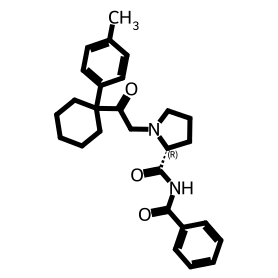 Cc1ccc(C2(C(=O)CN3CCC[C@@H]3C(=O)NC(=O)c3ccccc3)CCCCC2)cc1